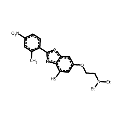 CCN(CC)CCOc1cc(S)c2nc(-c3ccc([N+](=O)[O-])cc3C)sc2c1